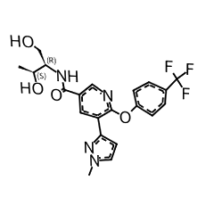 C[C@H](O)[C@@H](CO)NC(=O)c1cnc(Oc2ccc(C(F)(F)F)cc2)c(-c2ccn(C)n2)c1